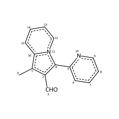 Cc1c(C=O)c(-c2ccccn2)n2ccccc12